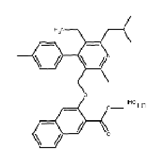 COC(=O)c1cc2ccccc2cc1OCc1c(C)nc(CC(C)C)c(CN)c1-c1ccc(C)cc1.Cl.Cl